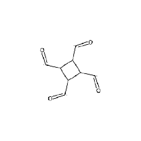 O=[C]C1C([C]=O)C([C]=O)C1[C]=O